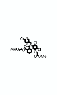 COCCOC(=O)C1=C(C(=O)N(Cc2ccc(Cl)nc2)c2cc(OCC(=O)OC)c(Cl)cc2Cl)CCCC1